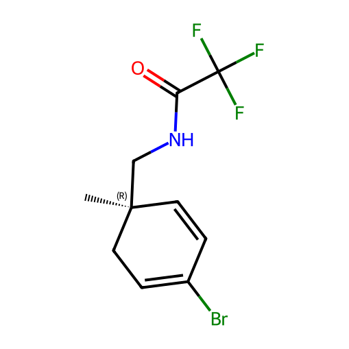 C[C@]1(CNC(=O)C(F)(F)F)C=CC(Br)=CC1